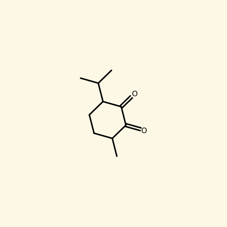 CC1CCC(C(C)C)C(=O)C1=O